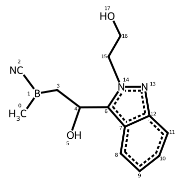 CB(C#N)CC(O)c1c2ccccc2nn1CCO